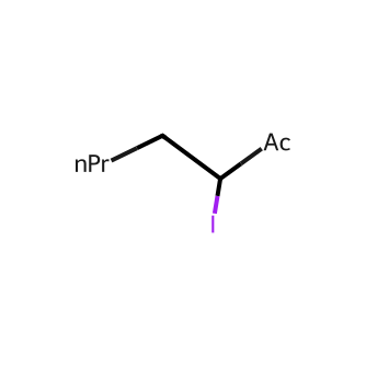 CCCCC(I)C(C)=O